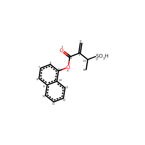 C=C(C(=O)Oc1cccc2ccccc12)C(C)S(=O)(=O)O